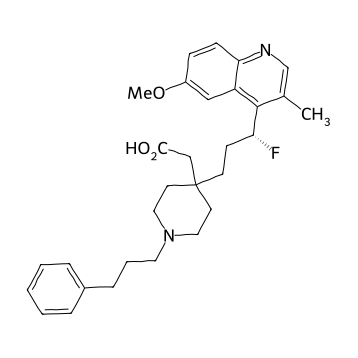 COc1ccc2ncc(C)c([C@H](F)CCC3(CC(=O)O)CCN(CCCc4ccccc4)CC3)c2c1